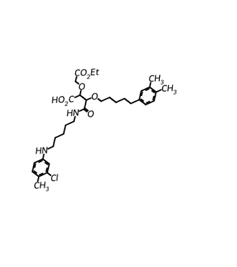 CCOC(=O)COC(C(=O)O)C(OCCCCCc1ccc(C)c(C)c1)C(=O)NCCCCCNc1ccc(C)c(Cl)c1